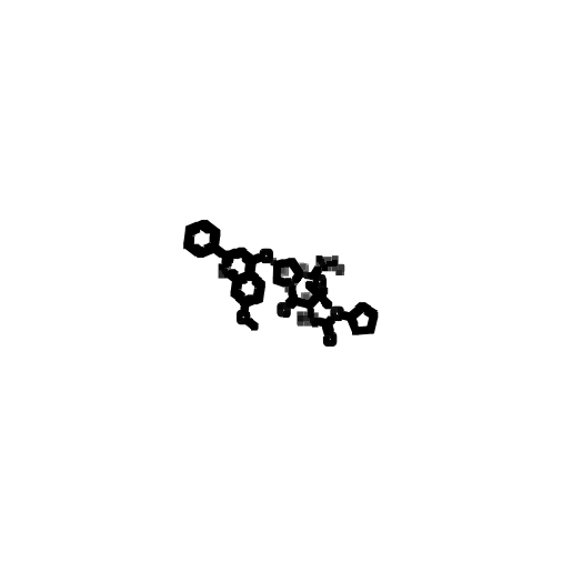 COc1ccc2c(O[C@@H]3C[C@@H](C(N)=O)N(C(=O)[C@@H](NC(=O)OC4CCCC4)C(C)(C)C)C3)cc(-c3ccccc3)nc2c1